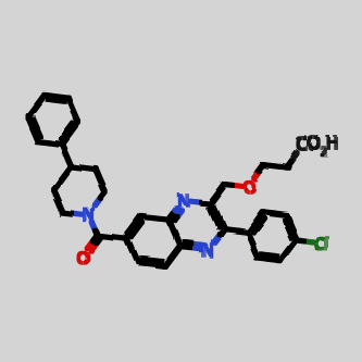 O=C(O)CCOCc1nc2cc(C(=O)N3CCC(c4ccccc4)CC3)ccc2nc1-c1ccc(Cl)cc1